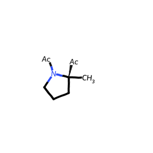 CC(=O)N1CCC[C@]1(C)C(C)=O